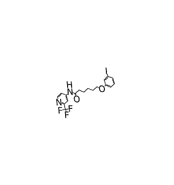 O=C(CCCCCOc1cccc(I)c1)Nc1ccnc(C(F)(F)F)c1